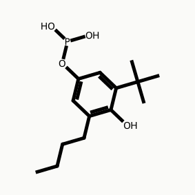 CCCCc1cc(OP(O)O)cc(C(C)(C)C)c1O